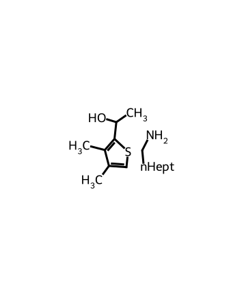 CCCCCCCCN.Cc1csc(C(C)O)c1C